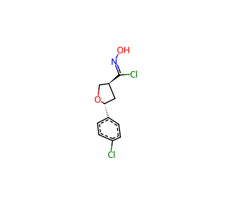 O/N=C(\Cl)[C@@H]1CO[C@@H](c2ccc(Cl)cc2)C1